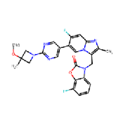 Cc1nc2cc(F)c(-c3cnc(N4CC(C)(OC=O)C4)nc3)cn2c1Cn1c(=O)oc2c(F)cccc21